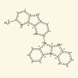 Cc1ccc2oc3ccc(-n4c5ccccc5n5c6ccccc6nc45)nc3c2n1